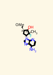 COC[C@H]1C[C@@H](n2cnc3c(N)ccnc32)[C@](C)(F)[C@@H]1O